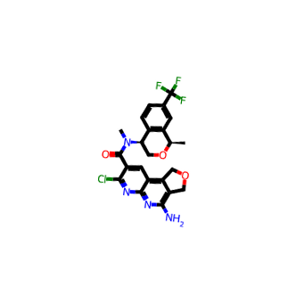 C[C@H]1OC[C@@H](N(C)C(=O)c2cc3c4c(c(N)nc3nc2Cl)COC4)c2ccc(C(F)(F)F)cc21